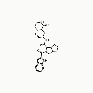 O=CC(CC1CCCNC1=O)NC(=O)C1C2CCCC2CN1C(=O)c1cc2ccccc2[nH]1